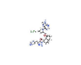 Cl.NC(Cc1c[nH]cn1)C(=O)Nc1ccc2cccc(OC[C@H]3CCCN3c3ncnc4[nH]cnc34)c2c1